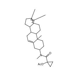 CC(=O)OC1(C(=O)N(C)C2CCC3(C)C(=CCC4C3CCC35CN(C)C(C)C3CCC45)C2)CC1